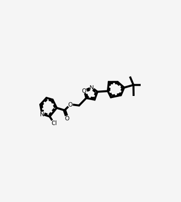 CC(C)(C)c1ccc(-c2cc(COC(=O)c3cccnc3Cl)on2)cc1